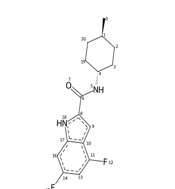 C[C@H]1CC[C@H](NC(=O)c2cc3c(F)cc(F)cc3[nH]2)CC1